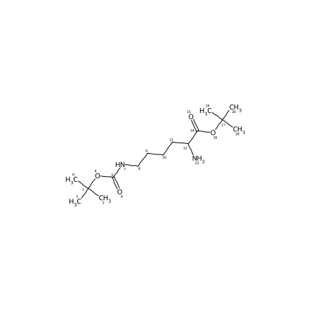 CC(C)(C)OC(=O)NCCCCC(N)C(=O)OC(C)(C)C